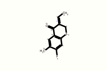 C/C=C1\CSc2cc(F)c(C)cc2C1=O